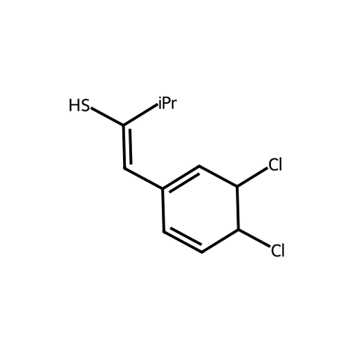 CC(C)/C(S)=C\C1=CC(Cl)C(Cl)C=C1